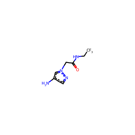 Nc1cnn(CC(=O)NCC(F)(F)F)c1